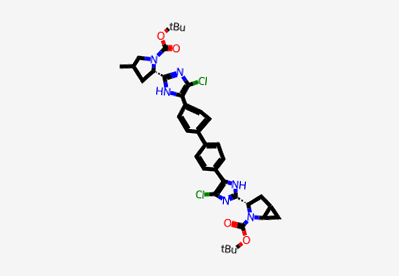 CC1C[C@@H](c2nc(Cl)c(-c3ccc(-c4ccc(-c5[nH]c([C@@H]6CC7CC7N6C(=O)OC(C)(C)C)nc5Cl)cc4)cc3)[nH]2)N(C(=O)OC(C)(C)C)C1